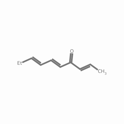 CC=CC(=O)C=CC=CCC